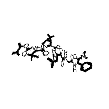 CC(C)CC(NC(=O)[C@@H]1C2C(CN1C(=O)[C@@H](NC(=O)OC(C)C(C)C)C(C)(C)C)C2(C)C)C(=O)C(=O)NCC(=O)N[C@H](C(=O)N(C)C)c1ccccc1